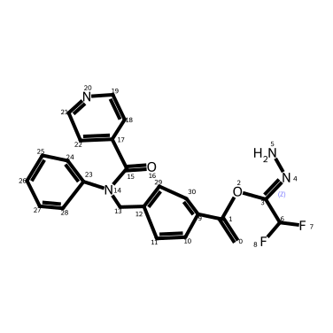 C=C(O/C(=N\N)C(F)F)c1ccc(CN(C(=O)c2ccncc2)c2ccccc2)cc1